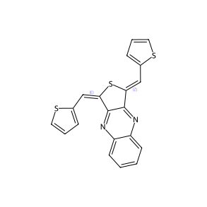 C(/c1cccs1)=c1/s/c(=C/c2cccs2)c2nc3ccccc3nc12